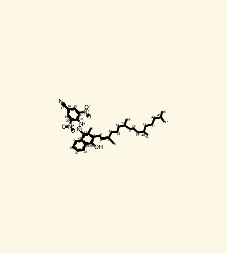 CC(=CCc1c(C)c(N=Nc2c([N+](=O)[O-])cc(C#N)cc2[N+](=O)[O-])c2ccccc2c1O)CCCC(C)CCCC(C)CCCC(C)C